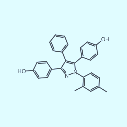 Cc1ccc(-n2nc(-c3ccc(O)cc3)c(-c3ccccc3)c2-c2ccc(O)cc2)c(C)c1